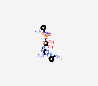 NCc1ccccc1Nc1nc(N)c2ncn([C@@H]3O[C@H](COS(=O)(=O)NC(=O)c4ccccc4N)[C@@H](O)[C@H]3O)c2n1